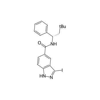 CC(C)(C)C[C@H](NC(=O)c1ccc2[nH]nc(I)c2c1)c1ccccc1